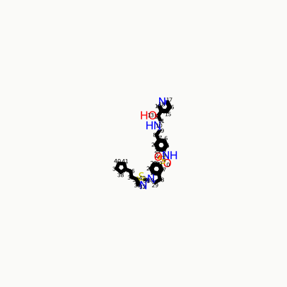 O=S(=O)(Nc1ccc(CCNCC(O)c2cccnc2)cc1)c1ccc2c(c1)CCN2c1ncc(CCC2CCCC2)s1